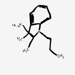 CCCN1c2ccccc2C(C)(C)C1C